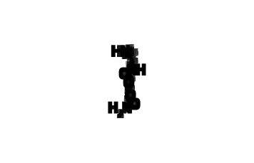 NC(=O)COCCOCC(=O)NCCC1CCNC1